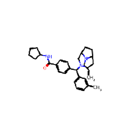 C=CCN1C2CCC1CN(C(c1ccc(C(=O)NC3CCCC3)cc1)c1cccc(C)c1)CC2